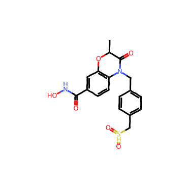 CC1Oc2cc(C(=O)NO)ccc2N(Cc2ccc(C[SH](=O)=O)cc2)C1=O